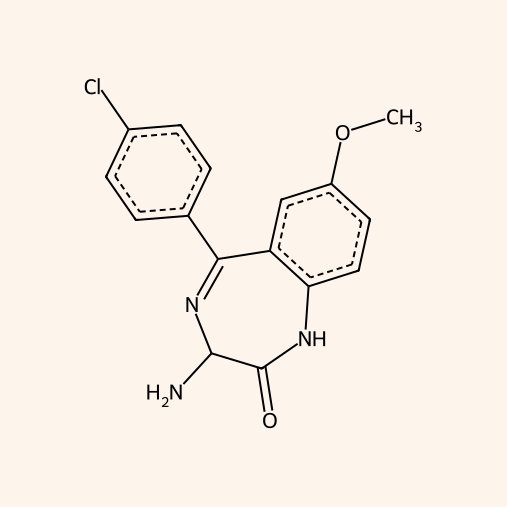 COc1ccc2c(c1)C(c1ccc(Cl)cc1)=NC(N)C(=O)N2